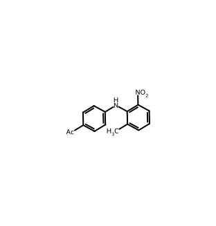 CC(=O)c1ccc(Nc2c(C)cccc2[N+](=O)[O-])cc1